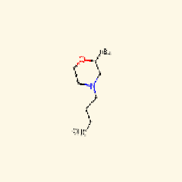 CCCCC1CN(CCC[C]=O)CCO1